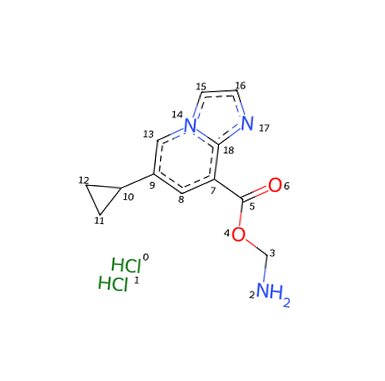 Cl.Cl.NCOC(=O)c1cc(C2CC2)cn2ccnc12